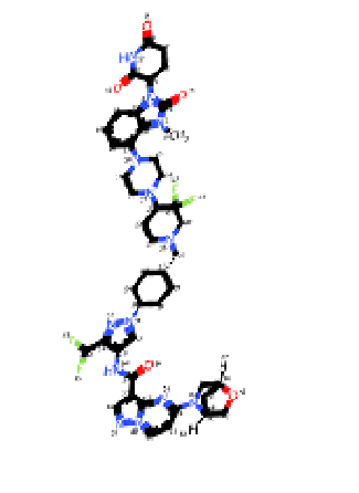 Cn1c(=O)n(C2CCC(=O)NC2=O)c2cccc(N3CCN(C4CCN(C[C@H]5CC[C@H](n6cc(NC(=O)c7cnn8ccc(N9C[C@H]%10C[C@@H]9CO%10)nc78)c(C(F)F)n6)CC5)CC4(F)F)CC3)c21